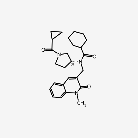 Cn1c(=O)c(CN(C(=O)C2CCCCC2)[C@@H]2CCN(C(=O)C3CC3)C2)cc2ccccc21